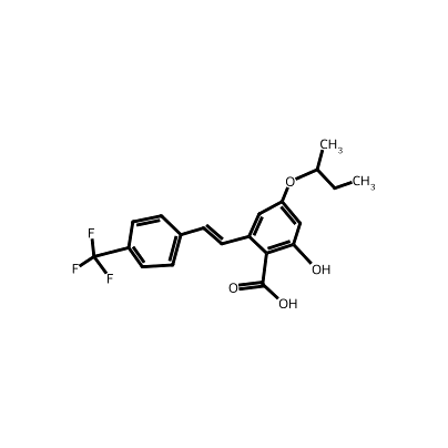 CCC(C)Oc1cc(O)c(C(=O)O)c(C=Cc2ccc(C(F)(F)F)cc2)c1